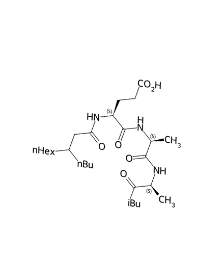 CCCCCCC(CCCC)CC(=O)N[C@@H](CCC(=O)O)C(=O)N[C@@H](C)C(=O)N[C@@H](C)C(=O)C(C)CC